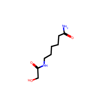 NC(=O)CCCCCNC(=O)CO